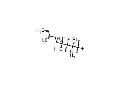 C=CC(=C)CCC(C)(C)C(F)(F)C(C)(C)C(F)(F)F